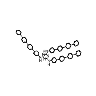 c1ccc(-c2ccc(-c3ccc(-c4ccc(Nc5nc(Nc6ccc(-c7ccc(-c8ccc(-c9ccccc9)cc8)cc7)cc6)nc(Nc6ccc(-c7ccc(-c8ccc(-c9ccccc9)cc8)cc7)cc6)n5)cc4)cc3)cc2)cc1